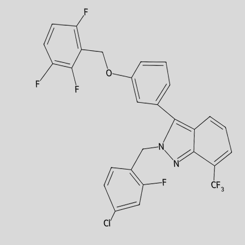 Fc1cc(Cl)ccc1Cn1nc2c(C(F)(F)F)cccc2c1-c1cccc(OCc2c(F)ccc(F)c2F)c1